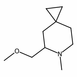 COCC1CC2(CCN1C)CC2